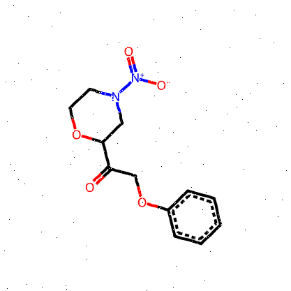 O=C(COc1ccccc1)C1CN([N+](=O)[O-])CCO1